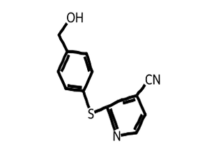 N#Cc1ccnc(Sc2ccc(CO)cc2)c1